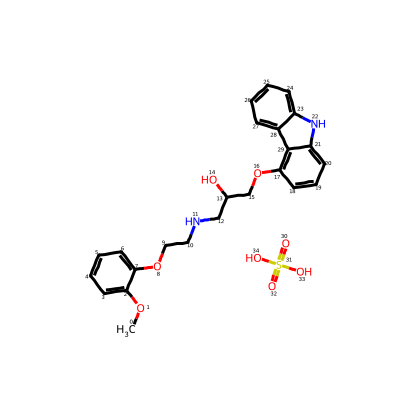 COc1ccccc1OCCNCC(O)COc1cccc2[nH]c3ccccc3c12.O=S(=O)(O)O